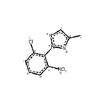 Cc1cnn(-c2c(Cl)cccc2[N+](=O)[O-])n1